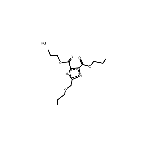 CCCOCc1nc(C(=O)OCCC)c(C(=O)OCCC)[nH]1.Cl